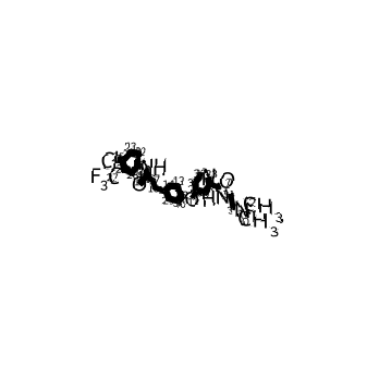 CN(C)CCNC(=O)c1cc(Oc2ccc(CCC(=O)Nc3ccc(Cl)c(C(F)(F)F)c3)cc2)ccn1